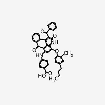 CCCCc1ccc(Oc2cc(Nc3ccc(C(=O)O)cc3)c3c4c(c(C(=O)c5ccccc5)c(=O)[nH]c24)-c2ccccc2C3=O)c(C)c1